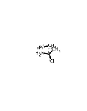 CC(N)Cl.CCCC